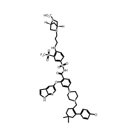 CC1(C)CCC(CN2CCN(c3ccc(C(=O)NS(=O)(=O)c4ccc(NCCCN5C[C@H]6C[C@@H]5CN6C(=O)O)c(S(=O)(=O)C(F)(F)F)c4)c(Oc4cnc5[nH]ccc5c4)c3)CC2)=C(c2ccc(Cl)cc2)C1